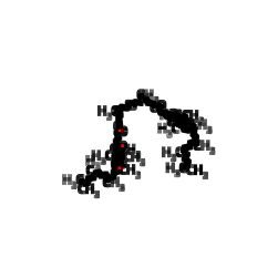 Cc1c(C)c2c(c(C)c1OC(=O)CCCC(=O)OCCCN(C)CCSSCCN(C)CCCOC(=O)CCCC(=O)Oc1c(C)c(C)c3c(c1C)CCC(C)(CCCC(C)CCCC(C)CCCC(C)C)O3)CCC(C)(CCCC(C)CCCC(C)CCCC(C)C)O2